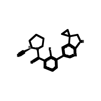 N#C[C@@H]1CCCCN1C(=O)c1cccc(-c2cnc3c(c2)C2(CC2)CN3)c1F